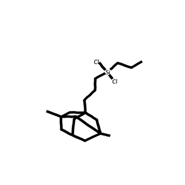 CCC[Si](Cl)(Cl)CCCC12CC3CC(C)(CC(C)(C3)C1)C2